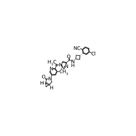 Cc1cc(N2C[C@H]3C[C@H]3C2=O)cnc1[C@@H](C)n1cc(C(=O)N[C@H]2C[C@@H](c3cc(Cl)ccc3C#N)C2)nn1